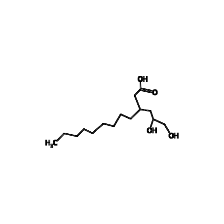 CCCCCCCCCC(CC(=O)O)CC(O)CO